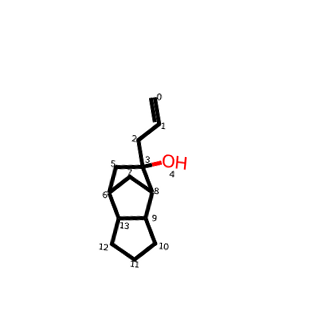 C=CCC1(O)CC2CC1C1CCCC21